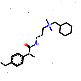 CC(C)Cc1ccc(C(C)C(=O)NCCC[N+](C)(C)CC2CCCCC2)cc1